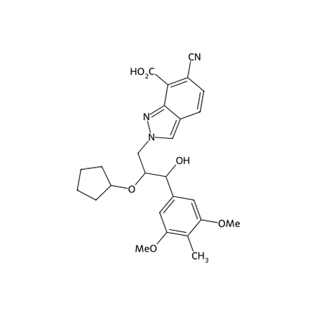 COc1cc(C(O)C(Cn2cc3ccc(C#N)c(C(=O)O)c3n2)OC2CCCC2)cc(OC)c1C